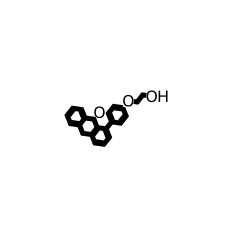 O=C1c2ccccc2Cc2cccc(-c3ccc(OCCO)cc3)c21